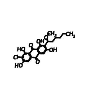 CCCCCC(OC)c1c(O)cc2c(c1O)C(=O)c1c(cc(O)c(Cl)c1O)C2=O